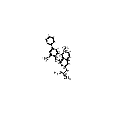 Cc1cc(-c2ccccc2)cc(-c2c3ccc(CC(C)C)cc3cc[n+]2C)c1C